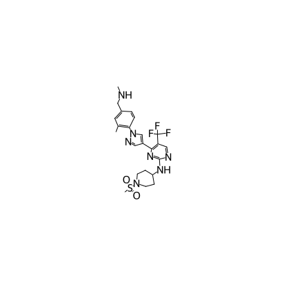 CNCc1ccc(-n2cc(-c3nc(NC4CCN(S(C)(=O)=O)CC4)ncc3C(F)(F)F)cn2)c(C)c1